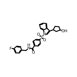 O=C(NCc1ccc(F)cc1)c1ccc(S(=O)(=O)n2cc(C3CCC(O)C3)c3ccccc32)cc1